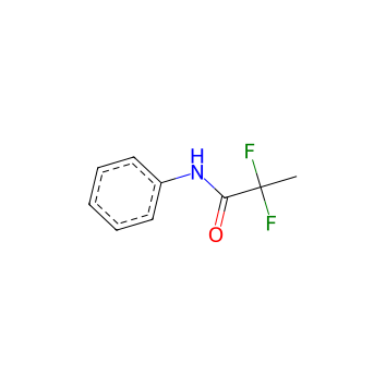 CC(F)(F)C(=O)Nc1ccccc1